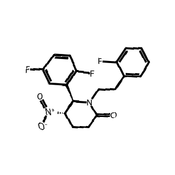 O=C1CC[C@H]([N+](=O)[O-])[C@@H](c2cc(F)ccc2F)N1CCc1ccccc1F